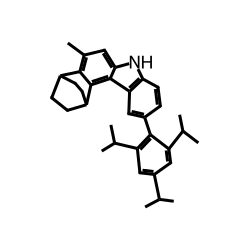 Cc1cc2[nH]c3ccc(-c4c(C(C)C)cc(C(C)C)cc4C(C)C)cc3c2c2c1C1CCC2CC1